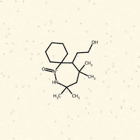 CC1(C)CC(C)(C)C(CCO)C2(CCCCC2)[N+](=O)N1